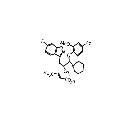 COc1cc(C(C)=O)ccc1O[C@H](C(C)Cc1noc2cc(F)ccc12)N1CCCCC1.O=C(O)C=CC(=O)O